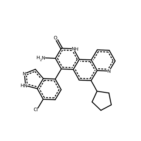 Nc1c(-c2ccc(Cl)c3[nH]ncc23)c2cc(C3CCCC3)c3ncccc3c2[nH]c1=O